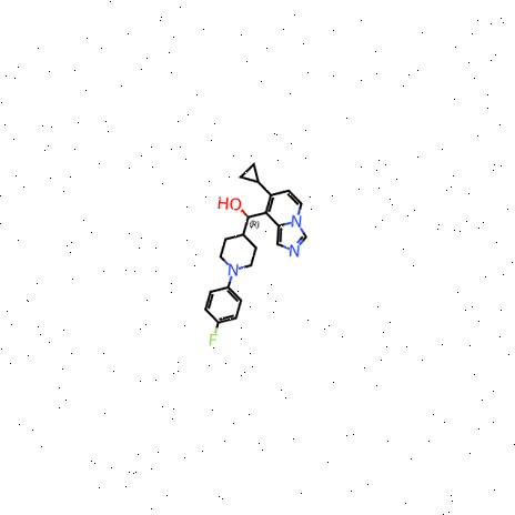 O[C@@H](c1c(C2CC2)ccn2cncc12)C1CCN(c2ccc(F)cc2)CC1